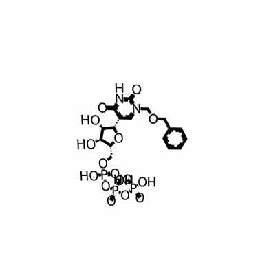 O=c1[nH]c(=O)n(COCc2ccccc2)cc1[C@@H]1O[C@H](COP(=O)(O)OP(=O)(O)OP(=O)(O)O)[C@@H](O)[C@H]1O